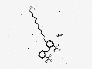 CCCCCCCCCCCCc1ccc(S(=O)(=O)[O-])c(Oc2ccccc2S(=O)(=O)[O-])c1.[Na+].[Na+]